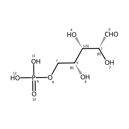 O=C[C@H](O)[C@@H](O)[C@H](O)COP(=O)(O)O